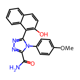 COc1ccc(-n2c(C(N)=O)nnc2-c2c(O)ccc3ccccc23)cc1